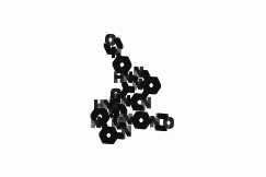 C=C(C)C(=O)N(C(=C)S(=O)(=O)Nc1ccnc(-c2cccc3cnc(Nc4ccc(N5CCOCC5)cc4)nc23)c1)c1ccnc(-c2cccc3cnc(Nc4ccc(N5CCOCC5)cc4)nc23)c1